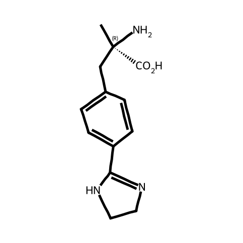 C[C@@](N)(Cc1ccc(C2=NCCN2)cc1)C(=O)O